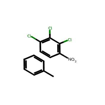 Cc1ccccc1.O=[N+]([O-])c1ccc(Cl)c(Cl)c1Cl